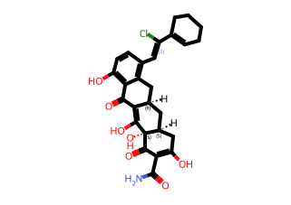 NC(=O)C1=C(O)C[C@@H]2C[C@@H]3Cc4c(/C=C(\Cl)C5=CCCCC5)ccc(O)c4C(=O)C3=C(O)[C@]2(O)C1=O